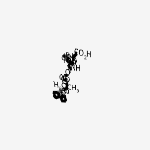 CC(C)(CCO[Si](c1ccccc1)(c1ccccc1)C(C)(C)C)COS(=O)(=O)CCOC[C@@H]1C[C@](CC(=O)OC(C)(C)C)(NC(=O)C=CC(=O)O)C(=O)N1